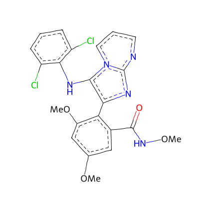 CONC(=O)c1cc(OC)cc(OC)c1-c1nc2ncccn2c1Nc1c(Cl)cccc1Cl